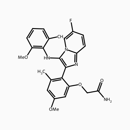 COc1cc(C)c(-c2nc3ccc(F)cn3c2Nc2c(C)cccc2OC)c(OCC(N)=O)c1